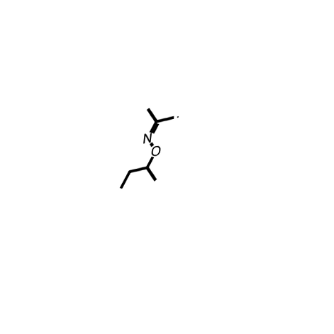 [CH2]/C(C)=N\OC(C)CC